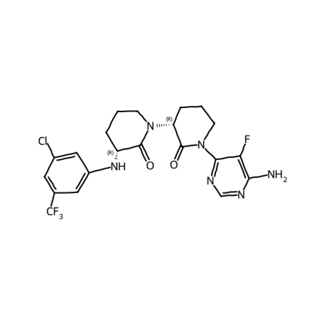 Nc1ncnc(N2CCC[C@@H](N3CCC[C@@H](Nc4cc(Cl)cc(C(F)(F)F)c4)C3=O)C2=O)c1F